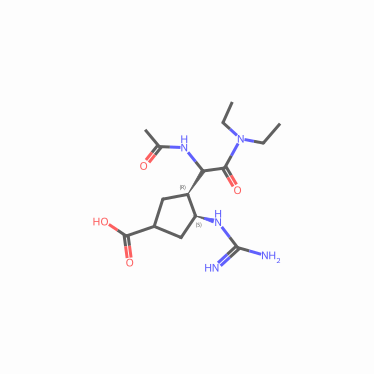 CCN(CC)C(=O)C(NC(C)=O)[C@@H]1CC(C(=O)O)C[C@@H]1NC(=N)N